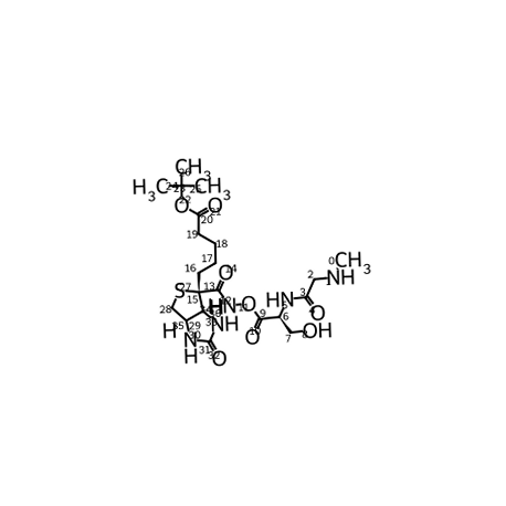 CNCC(=O)N[C@@H](CO)C(=O)ONC(=O)[C@@]1(CCCCC(=O)OC(C)(C)C)SC[C@@H]2NC(=O)N[C@@H]21